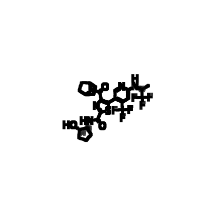 C[C@H](Nc1cc(C(F)(F)F)c(-c2sc(C(=O)N[C@@H]3CCC[C@H]3O)nc2C(=O)N2C3CCC2CC3)cn1)C(F)(F)F